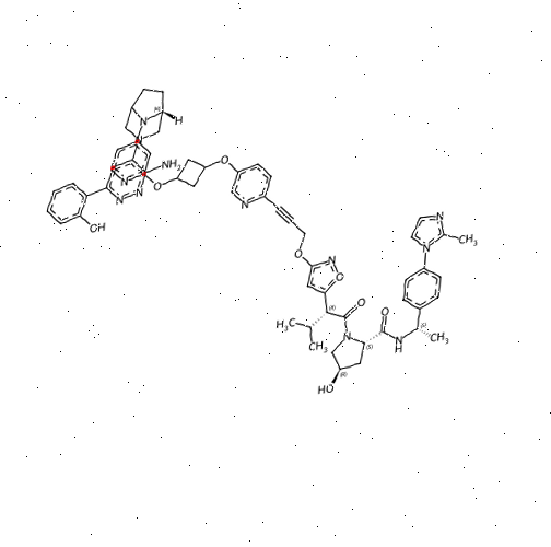 Cc1nccn1-c1ccc([C@H](C)NC(=O)[C@@H]2C[C@@H](O)CN2C(=O)[C@@H](c2cc(OCC#Cc3ccc(OC4CC(Oc5cc(N6C7CC[C@@H]6CN(c6cc(-c8ccccc8O)nnc6N)C7)ccn5)C4)cn3)no2)C(C)C)cc1